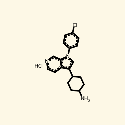 Cl.NC1CCC(c2cn(-c3ccc(Cl)cc3)c3cnccc23)CC1